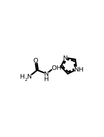 NC(=O)NO.c1c[nH]cn1